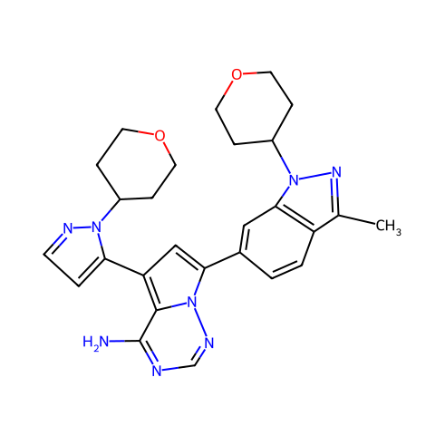 Cc1nn(C2CCOCC2)c2cc(-c3cc(-c4ccnn4C4CCOCC4)c4c(N)ncnn34)ccc12